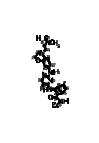 CCNC(=O)C1C2C=CC(C2)C1Nc1nc(Nc2ccc3c(c2)OCCN3CCN(C)C)ncc1F